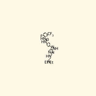 CCN(CC)CCNCc1ncc2c(-c3ccc(NC(=O)Nc4cc(C(F)(F)F)ccc4F)cc3)n[nH]c2n1